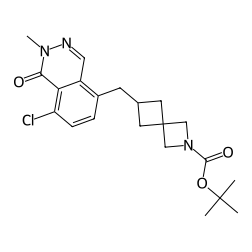 Cn1ncc2c(CC3CC4(C3)CN(C(=O)OC(C)(C)C)C4)ccc(Cl)c2c1=O